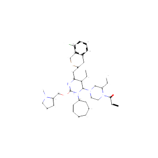 C=CC(=O)N1CCN(C2C3CC[C@]4(Cc5cccc(F)c5CS4)CC3NC(OCC3CCCN3C)N2C2CCCCCC2)CC1CC#N